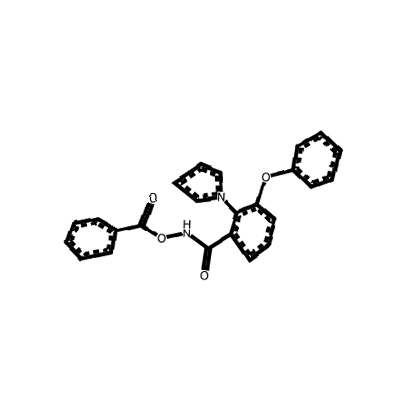 O=C(ONC(=O)c1cccc(Oc2ccccc2)c1-n1cccc1)c1ccccc1